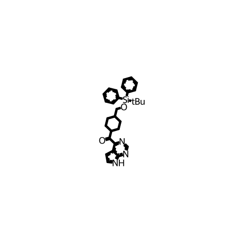 CC(C)(C)[Si](OCC1CCC(C(=O)c2ncnc3[nH]ccc23)CC1)(c1ccccc1)c1ccccc1